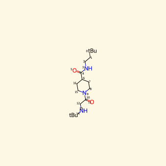 CC(C)(C)CCNC(=O)C1CCN(C(=O)CNC(C)(C)C)CC1